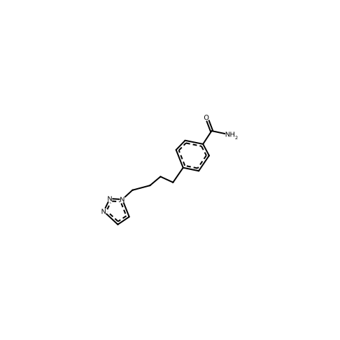 NC(=O)c1ccc(CCCCn2ccnn2)cc1